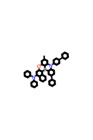 Cc1cc2c3c(c1)N(c1ccc(-c4ccccc4)cc1)c1ccc(-c4ccccc4)cc1B3c1c(cc(N(c3ccccc3)c3ccccc3)c3ccccc13)O2